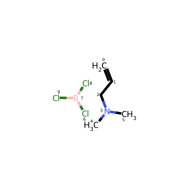 C=CCN(C)C.ClB(Cl)Cl